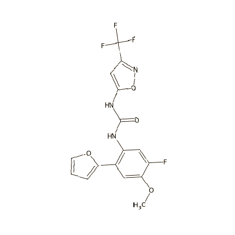 COc1cc(-c2ccco2)c(NC(=O)Nc2cc(C(F)(F)F)no2)cc1F